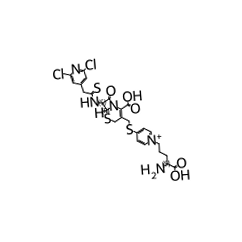 N[C@@H](CCC[n+]1ccc(SCC2=C(C(=O)O)N3C(=O)[C@H](NC(=S)Cc4cc(Cl)nc(Cl)c4)[C@H]3SC2)cc1)C(=O)O